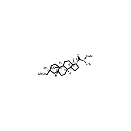 COC[C@@]1(O)CC[C@@]2(C)[C@H](CC[C@@H]3[C@@H]2CC[C@]2(C)[C@@H](C(=O)N(C)OC)CC[C@@H]32)C1